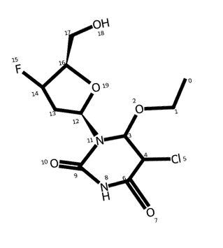 CCOC1C(Cl)C(=O)NC(=O)N1[C@H]1CC(F)[C@@H](CO)O1